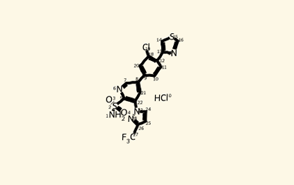 Cl.NS(=O)(=O)c1ncc(-c2ccc(-c3cscn3)c(Cl)c2)cc1-n1ccc(C(F)(F)F)n1